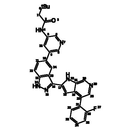 CC(C)(C)CC(=O)Nc1cncc(-c2ccc3[nH]nc(-c4cc5c(-c6ccccc6F)cncc5[nH]4)c3c2)c1